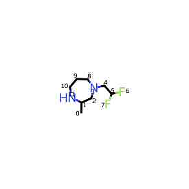 CC1CN(CC(F)F)CCCN1